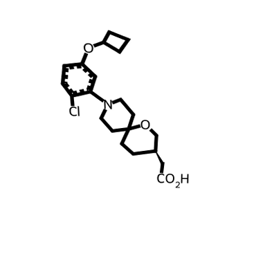 O=C(O)C[C@H]1CCC2(CCN(c3cc(OC4CCC4)ccc3Cl)CC2)OC1